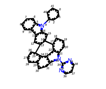 c1ccc(-n2c3ccccc3c3cc4c(cc32)-c2cccc3c2c2c5c-4cccc5ccc2n3-c2ncccn2)cc1